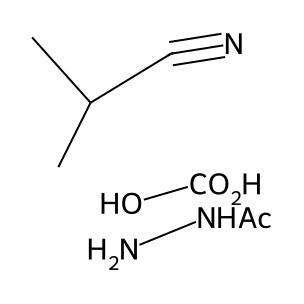 CC(=O)NN.CC(C)C#N.O=C(O)O